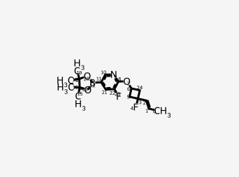 C/C=C/C1(F)CC(Oc2ncc(B3OC(C)(C)C(C)(C)O3)cc2F)C1